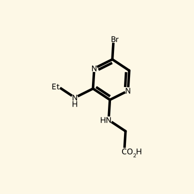 CCNc1nc(Br)cnc1NCC(=O)O